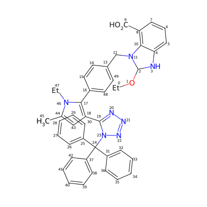 CCOC1Nc2cccc(C(=O)O)c2N1Cc1ccc(-c2c(-c3nnnn3C(c3ccccc3)(c3ccccc3)c3ccccc3)cc(C)n2CC)cc1